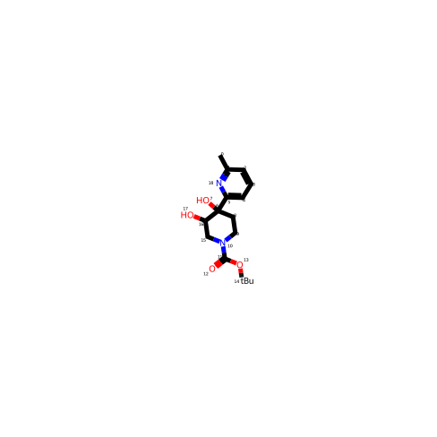 Cc1cccc(C2(O)CCN(C(=O)OC(C)(C)C)CC2O)n1